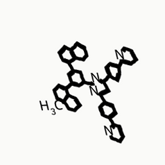 CC12CCC=CC1C(C1=CC(c3nc(-c4ccc(C5=NCCC=C5)cc4)cc(-c4ccc(-c5ccccn5)cc4)n3)CC(c3cccc4c3CCC=C4)=C1)=CCC2